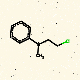 C[Si](CCCl)c1ccccc1